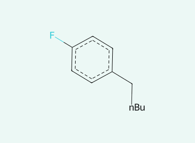 CC[CH]CCc1ccc(F)cc1